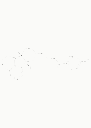 O=C(CCCN1CC[C@@H]2[C@H](C1)c1cccc3c1N2CCS3)c1ccc(F)cc1